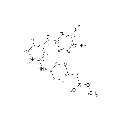 COC(=O)CN1CCC(Nc2cc(Nc3ccc(F)c(Cl)c3)ncn2)CC1